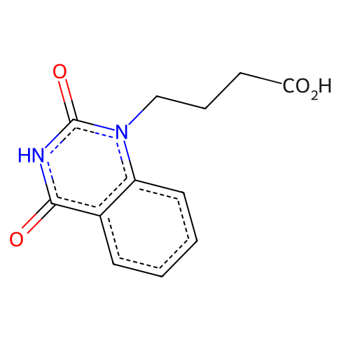 O=C(O)CCCn1c(=O)[nH]c(=O)c2ccccc21